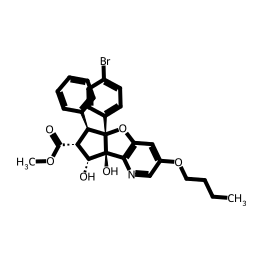 CCCCOc1cnc2c(c1)O[C@@]1(c3ccc(Br)cc3)[C@H](c3ccccc3)[C@@H](C(=O)OC)[C@@H](O)[C@@]21O